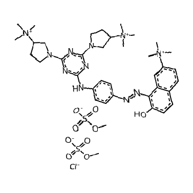 COS(=O)(=O)[O-].COS(=O)(=O)[O-].C[N+](C)(C)c1ccc2ccc(O)c(/N=N/c3ccc(Nc4nc(N5CCC([N+](C)(C)C)C5)nc(N5CCC([N+](C)(C)C)C5)n4)cc3)c2c1.[Cl-]